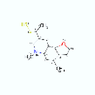 CC(SS)C1CCC(CC(C)[C@H]2CCOC2)N(C)C1